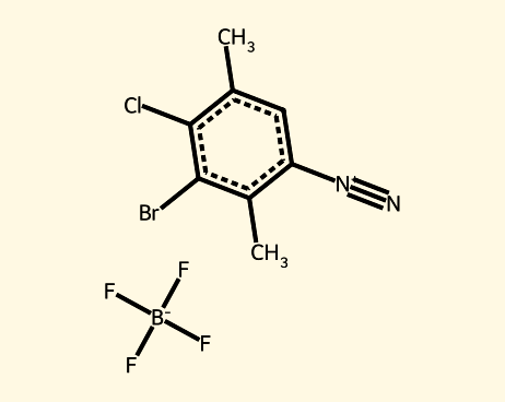 Cc1cc([N+]#N)c(C)c(Br)c1Cl.F[B-](F)(F)F